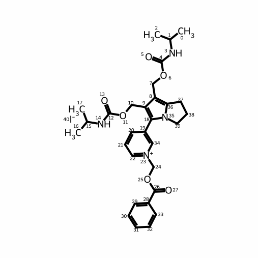 CC(C)NC(=O)OCc1c(COC(=O)NC(C)C)c(-c2ccc[n+](COC(=O)c3ccccc3)c2)n2c1CCC2.[I-]